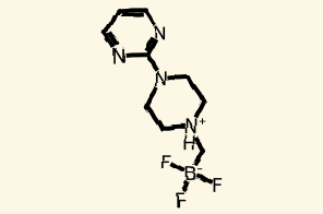 F[B-](F)(F)C[NH+]1CCN(c2ncccn2)CC1